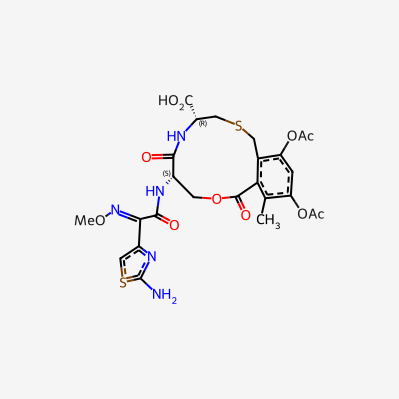 CON=C(C(=O)N[C@H]1COC(=O)c2c(C)c(OC(C)=O)cc(OC(C)=O)c2CSC[C@@H](C(=O)O)NC1=O)c1csc(N)n1